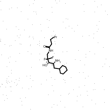 CC(C)CCC(=O)NCC(F)(F)[C@H](O)[C@@H](N)CC1CCCCC1